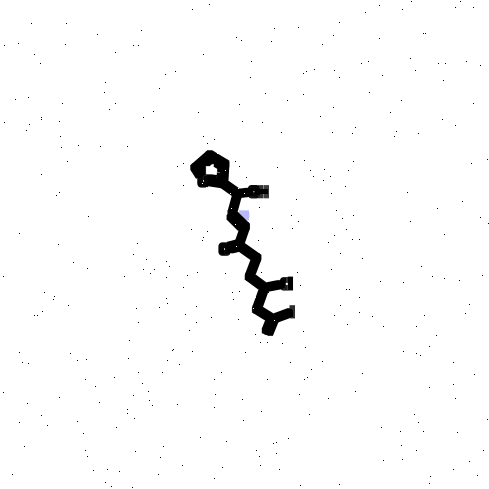 C=C(I)CC(Cl)CCC(=O)/C=C/C(O)c1ccco1